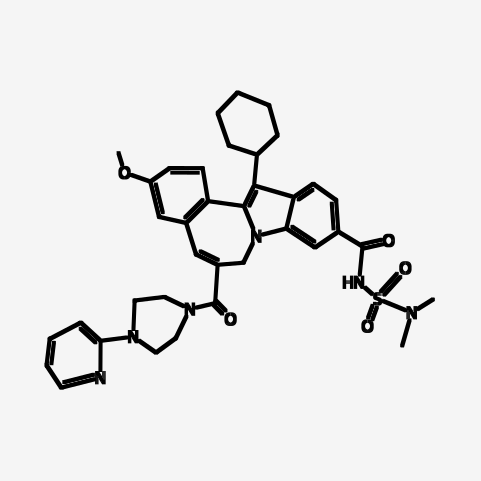 COc1ccc2c(c1)C=C(C(=O)N1CCN(c3ccccn3)CC1)Cn1c-2c(C2CCCCC2)c2ccc(C(=O)NS(=O)(=O)N(C)C)cc21